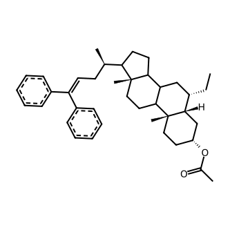 CC[C@H]1CC2C3CCC([C@H](C)CC=C(c4ccccc4)c4ccccc4)[C@@]3(C)CCC2[C@@]2(C)CC[C@@H](OC(C)=O)C[C@@H]12